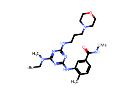 CONC(=O)c1ccc(C)c(Nc2nc(NCCCN3CCOCC3)nc(N(C)CC(C)(C)C)n2)c1